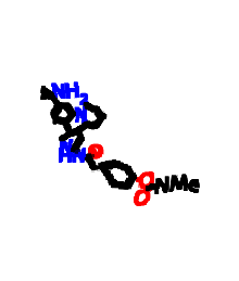 CNC(=O)O[C@H]1CC[C@H](CC(=O)Nc2cc(-c3ccccn3)c(-c3ccc(C4(N)CC4)cc3)cn2)CC1